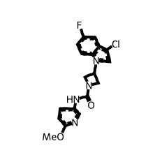 COc1ccc(NC(=O)N2CC(n3cc(Cl)c4cc(F)ccc43)C2)cn1